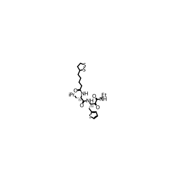 CCNC(=O)C(=O)[C@H](Cc1cccs1)NC(=O)[C@H](CC(C)C)NC(=O)CCCCC1CCSS1